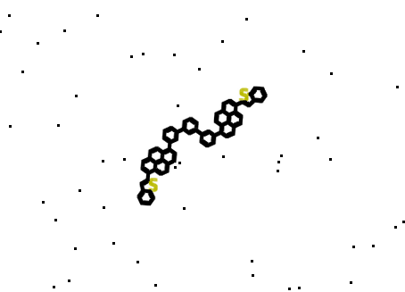 c1cc(-c2cccc(-c3ccc4ccc5c(-c6cc7ccccc7s6)ccc6ccc3c4c65)c2)cc(-c2cccc(-c3ccc4ccc5c(-c6cc7ccccc7s6)ccc6ccc3c4c65)c2)c1